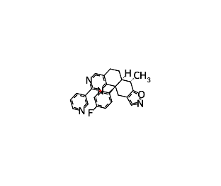 C[C@@H]1c2oncc2C[C@]2(c3ccc(F)cc3)c3nc(-c4cccnc4)ncc3CC[C@@H]12